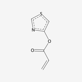 C=CC(=O)Oc1cscn1